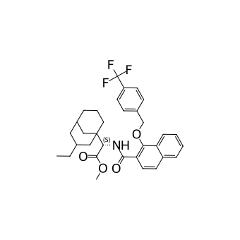 CCC1CC2CCCC([C@H](NC(=O)c3ccc4ccccc4c3OCc3ccc(C(F)(F)F)cc3)C(=O)OC)(C1)C2